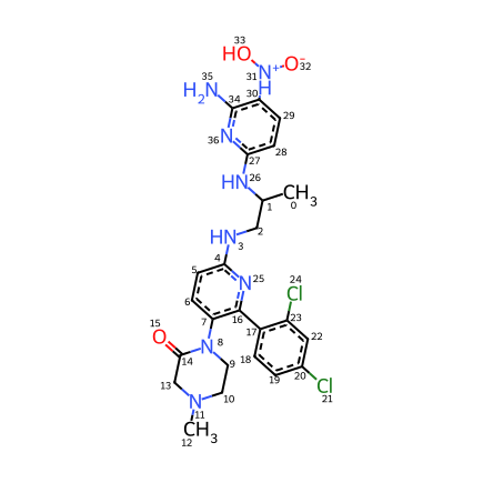 CC(CNc1ccc(N2CCN(C)CC2=O)c(-c2ccc(Cl)cc2Cl)n1)Nc1ccc([NH+]([O-])O)c(N)n1